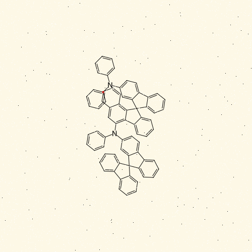 c1ccc(N(c2ccccc2)c2ccc3c(c2)C2(c4ccccc4-3)c3ccccc3-c3c(N(c4ccccc4)c4ccc5c(c4)C4(c6ccccc6-c6ccccc64)c4ccccc4-5)cc4ccccc4c32)cc1